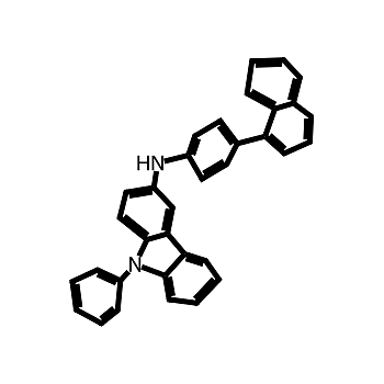 c1ccc(-n2c3ccccc3c3cc(Nc4ccc(-c5cccc6ccccc56)cc4)ccc32)cc1